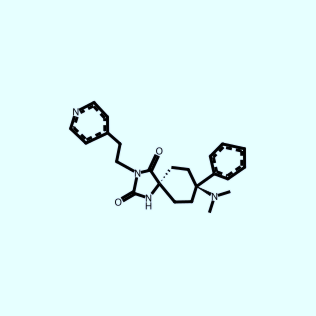 CN(C)[C@]1(c2ccccc2)CC[C@]2(CC1)NC(=O)N(CCc1ccncc1)C2=O